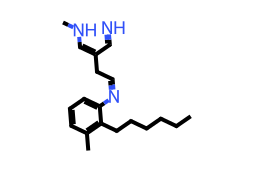 CCCCCCc1c(C)cccc1/N=C\C/C(C=N)=C/NC